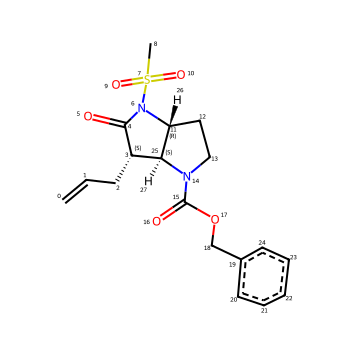 C=CC[C@@H]1C(=O)N(S(C)(=O)=O)[C@@H]2CCN(C(=O)OCc3ccccc3)[C@@H]12